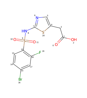 O=C(O)Cc1cnc(NS(=O)(=O)c2ccc(Br)cc2F)s1